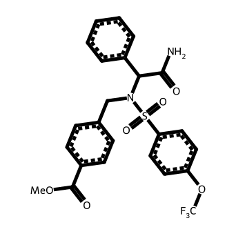 COC(=O)c1ccc(CN(C(C(N)=O)c2ccccc2)S(=O)(=O)c2ccc(OC(F)(F)F)cc2)cc1